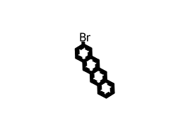 Brc1ccc2cc3cc4ccccc4cc3cc2c1